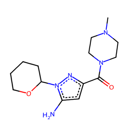 CN1CCN(C(=O)c2cc(N)n(C3CCCCO3)n2)CC1